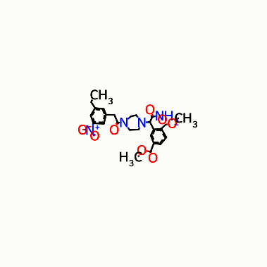 CCc1cc(CC(=O)N2CCN(C(C(N)=O)c3cc(C(=O)OC)ccc3C(=O)OC)CC2)cc([N+](=O)[O-])c1